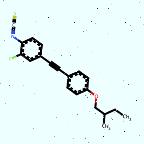 CCC(C)COc1ccc(C#Cc2ccc(N=C=S)c(F)c2)cc1